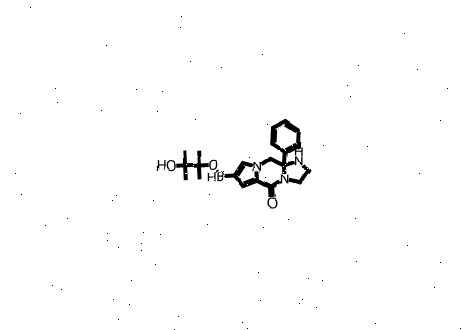 CC(C)(O)C(C)(C)OBc1cc2n(c1)CC1(c3ccccc3)NCCN1C2=O